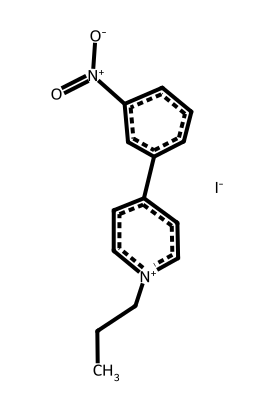 CCC[n+]1ccc(-c2cccc([N+](=O)[O-])c2)cc1.[I-]